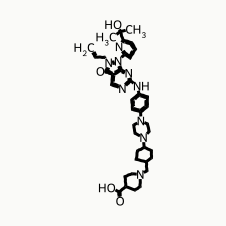 C=CCn1c(=O)c2cnc(Nc3ccc(N4CCN(C5CCC(CN6CCC(C(=O)O)CC6)CC5)CC4)cc3)nc2n1-c1cccc(C(C)(C)O)n1